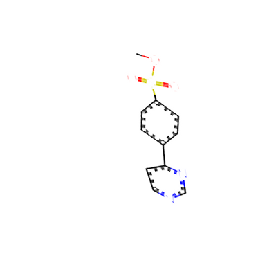 COS(=O)(=O)c1ccc(-c2ccncn2)cc1